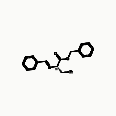 CC(C)C[C@H](N=Cc1ccccc1)C(=O)OCc1ccccc1